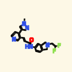 Cn1cc(-c2ccncc2/C=C/C(=O)Nc2ccc3c(c2)CN(CC(F)F)C3)cn1